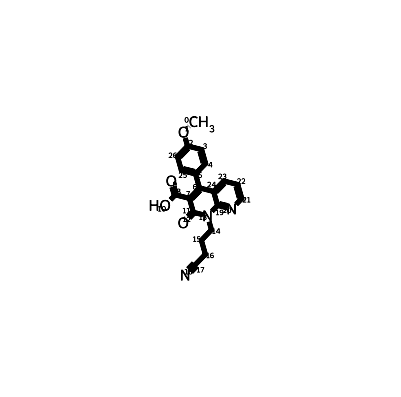 COc1ccc(-c2c(C(=O)O)c(=O)n(CCCC#N)c3ncccc23)cc1